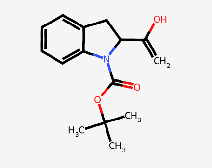 C=C(O)C1Cc2ccccc2N1C(=O)OC(C)(C)C